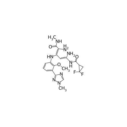 CNC(=O)/C(N)=C(/C=C(\N)NC(=O)C1CC1(F)F)Nc1cccc(-c2ncn(C)n2)c1OC